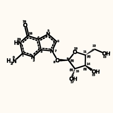 Nc1nc2c(ncn2O[C@H]2O[C@H](CO)[C@@H](O)[C@@H]2O)c(=O)[nH]1